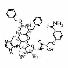 CC(C)C[C@H](NC(=O)[C@H](Cc1c[nH]cn1)NC(=O)[C@H](Cc1ccccc1)NC(=O)OCc1ccccc1)C(=O)N[C@H](C(=O)NC(=O)C(O)COc1cccc(C(N)=O)c1)C(C)C